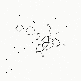 O=C(N[C@H]1CC[C@H](c2nnco2)CC1)[C@@H]1NC(CCCF)(CCCF)[C@@]2(C(=O)Nc3cc(Cl)ccc32)[C@H]1c1ccnc(Cl)c1F